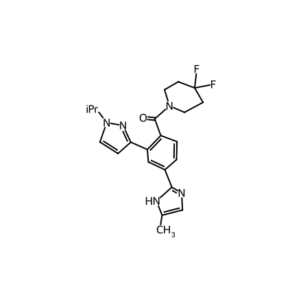 Cc1cnc(-c2ccc(C(=O)N3CCC(F)(F)CC3)c(-c3ccn(C(C)C)n3)c2)[nH]1